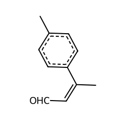 C/C(=C/C=O)c1ccc(C)cc1